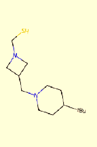 CC(C)(C)C1CCN(CC2CN(CS)C2)CC1